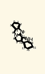 c1ccc2c(c1)CN1CCc3c([nH]c4ccccc34)C1=N2